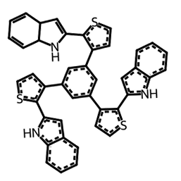 C1=CC2C=C(c3sccc3-c3cc(-c4ccsc4-c4cc5ccccc5[nH]4)cc(-c4ccsc4-c4cc5ccccc5[nH]4)c3)NC2C=C1